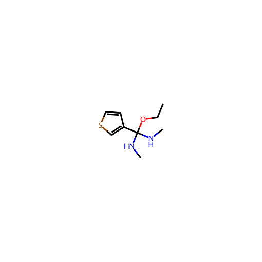 CCOC(NC)(NC)c1ccsc1